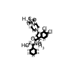 C[C@](CCN1CCN(S(C)(=O)=O)CC1)(C(=O)N[C@@H](CO)c1ccccc1)c1ccc(Cl)c(Cl)c1